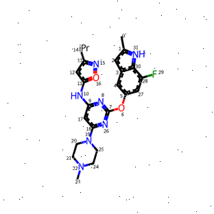 Cc1cc2cc(Oc3nc(Nc4cc(C(C)C)no4)cc(N4CCN(C)CC4)n3)cc(F)c2[nH]1